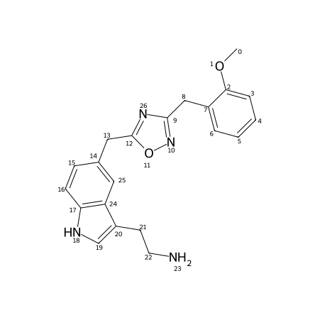 COc1ccccc1Cc1noc(Cc2ccc3[nH]cc(CCN)c3c2)n1